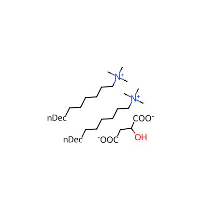 CCCCCCCCCCCCCCCC[N+](C)(C)C.CCCCCCCCCCCCCCCC[N+](C)(C)C.O=C([O-])CC(O)C(=O)[O-]